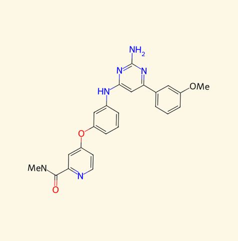 CNC(=O)c1cc(Oc2cccc(Nc3cc(-c4cccc(OC)c4)nc(N)n3)c2)ccn1